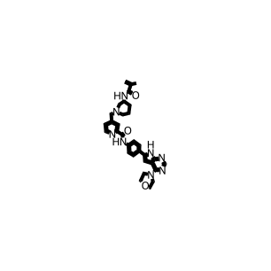 C=C(C)C(=O)NC1CCCN(Cc2ccnc(C(=O)Nc3ccc(-c4cc5c(N6CCOCC6)ncnc5[nH]4)cc3)c2)C1